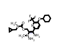 CN(CC1CC1)C(=O)OC/C(=C(/N)c1ccc(OC2CCCCC2)c(C(F)(F)F)n1)N(C)N